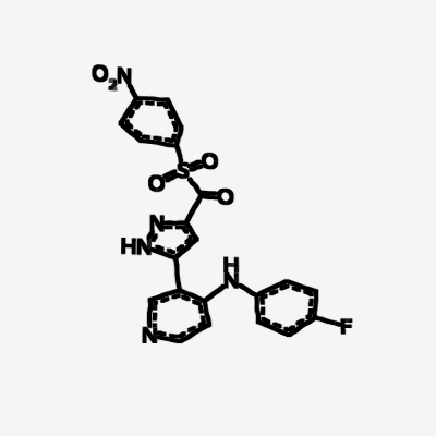 O=C(c1cc(-c2cnccc2Nc2ccc(F)cc2)[nH]n1)S(=O)(=O)c1ccc([N+](=O)[O-])cc1